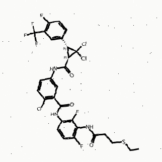 CCSCCC(=O)Nc1c(F)ccc(NC(=O)c2cc(NC(=O)[C@H]3[C@H](c4ccc(F)c(C(F)(F)F)c4)C3(Cl)Cl)ccc2Cl)c1F